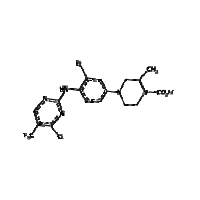 CCc1cc(N2CCN(C(=O)O)C(C)C2)ccc1Nc1ncc(C(F)(F)F)c(Cl)n1